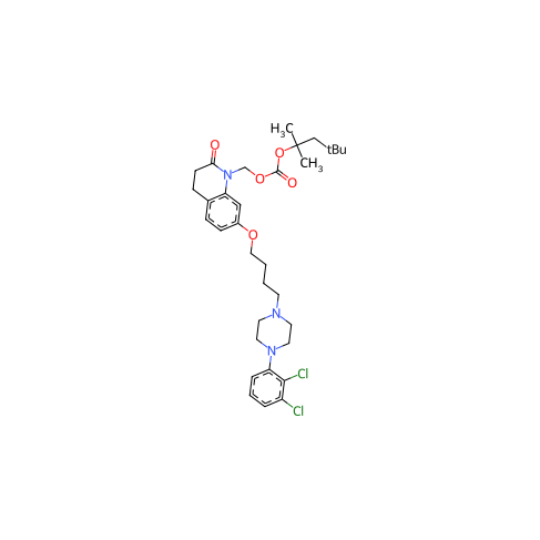 CC(C)(C)CC(C)(C)OC(=O)OCN1C(=O)CCc2ccc(OCCCCN3CCN(c4cccc(Cl)c4Cl)CC3)cc21